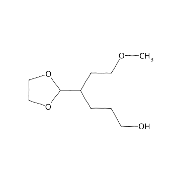 COCCC(CCCO)C1OCCO1